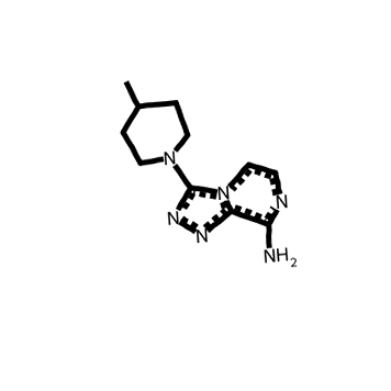 CC1CCN(c2nnc3c(N)nccn23)CC1